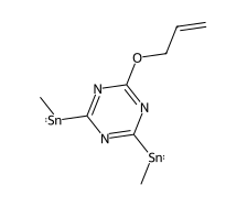 C=CCOc1n[c]([Sn][CH3])n[c]([Sn][CH3])n1